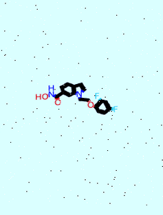 O=C(NO)c1ccc2ccn(CCOc3ccc(F)cc3F)c2c1